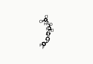 O=C(NCc1cc(Cl)cc(Cl)c1)c1cnc(N2CCN(C3CCN(Cc4ccc(F)c(F)c4)CC3)CC2)c(Cl)c1